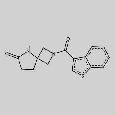 O=C1CCC2(CN(C(=O)c3csc4ccccc34)C2)N1